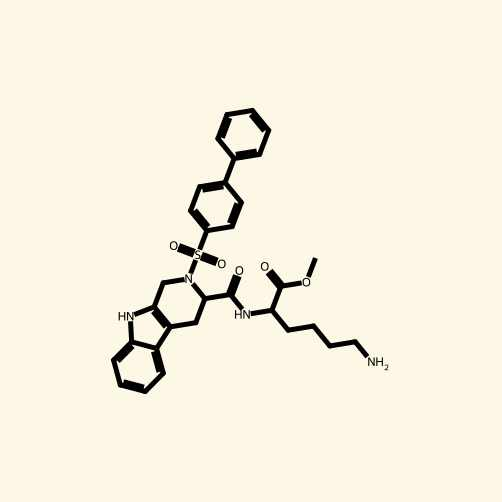 COC(=O)C(CCCCN)NC(=O)C1Cc2c([nH]c3ccccc23)CN1S(=O)(=O)c1ccc(-c2ccccc2)cc1